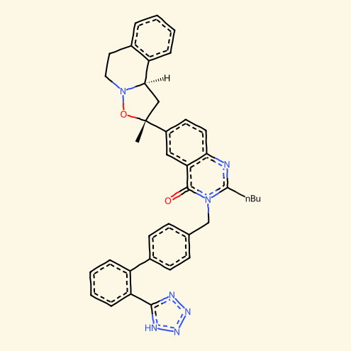 CCCCc1nc2ccc([C@@]3(C)C[C@@H]4c5ccccc5CCN4O3)cc2c(=O)n1Cc1ccc(-c2ccccc2-c2nnn[nH]2)cc1